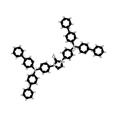 O=c1n(-c2ccc(N(c3ccc(-c4ccccc4)cc3)c3ccc(-c4ccccc4)cc3)cc2)ccn1-c1ccc(N(c2ccc(-c3ccccc3)cc2)c2ccc(-c3ccccc3)cc2)cc1